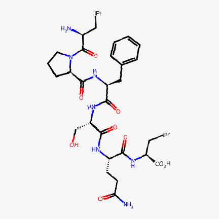 CC(C)C[C@H](NC(=O)[C@H](CCC(N)=O)NC(=O)[C@H](CO)NC(=O)[C@H](Cc1ccccc1)NC(=O)[C@H]1CCCN1C(=O)[C@@H](N)CC(C)C)C(=O)O